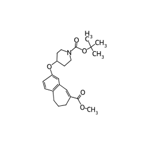 COC(=O)C1=Cc2cc(OC3CCN(C(=O)OC(C)(C)C)CC3)ccc2CCC1